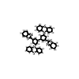 c1ccc2c(c1)Sc1ccccc1N2c1cc(-c2cc(-c3nc4ccccc4s3)cc(N3c4ccccc4Sc4ccccc43)c2)cc(-c2nc3ccccc3s2)c1